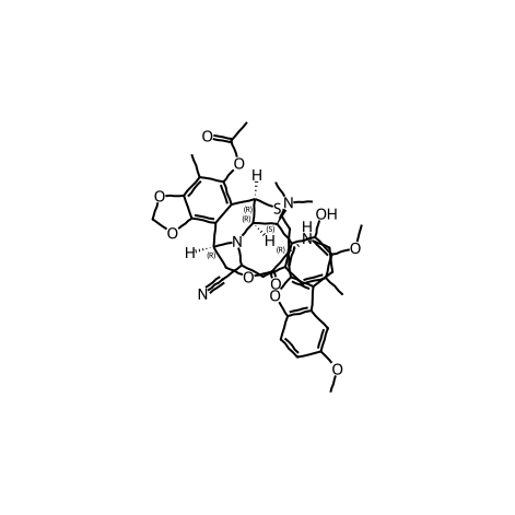 COc1ccc2oc3c(c2c1)CCN[C@]31CS[C@@H]2c3c(OC(C)=O)c(C)c4c(c3[C@H](COC1=O)N1C(C#N)Cc3cc(C)c(OC)c(O)c3[C@H](N(C)C)[C@H]21)OCO4